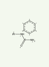 CC(C)NC(N)=O.c1ccccc1